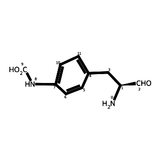 N[C@H](C=O)Cc1ccc(NC(=O)O)cc1